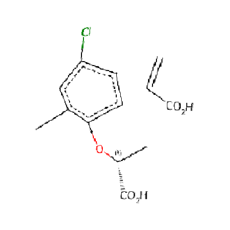 C=CC(=O)O.Cc1cc(Cl)ccc1O[C@H](C)C(=O)O